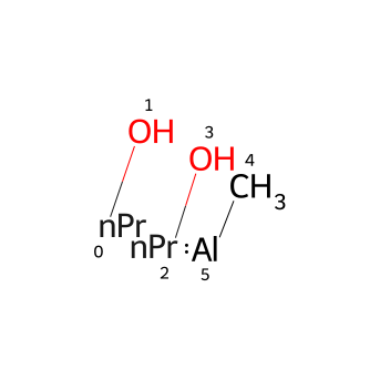 CCCO.CCCO.[CH3][Al]